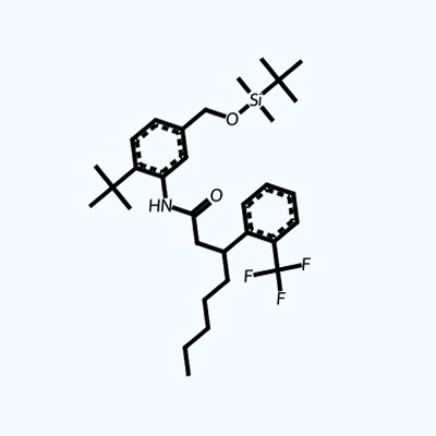 CCCCCC(CC(=O)Nc1cc(CO[Si](C)(C)C(C)(C)C)ccc1C(C)(C)C)c1ccccc1C(F)(F)F